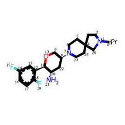 CC(C)N1CCC2(CCN([C@H]3CO[C@H](c4cc(F)ccc4F)[C@@H](N)C3)CC2)C1